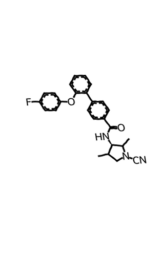 CC1CN(C#N)C(C)[C@@H]1NC(=O)c1ccc(-c2ccccc2Oc2ccc(F)cc2)cc1